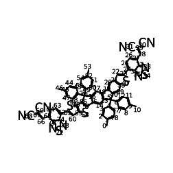 Cc1ccc(C2(c3ccc(C)cc3)c3cc4c(cc3-c3cc5cc(-c6ccc(C=C(C#N)C#N)c7nsnc67)sc5cc32)C(c2ccc(C)cc2)(c2ccc(C)cc2)c2c-4sc3cc(-c4ccc(C=C(C#N)C#N)c5nsnc45)sc23)cc1